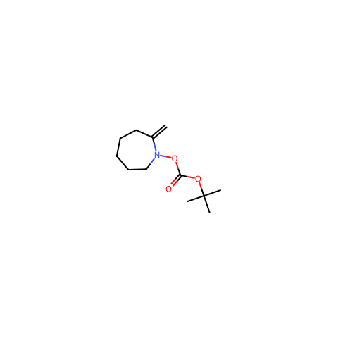 C=C1CCCCCN1OC(=O)OC(C)(C)C